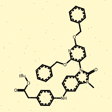 Cn1c(=O)n(-c2ccc(OCc3ccccc3)nc2OCc2ccccc2)c2ccc(Nc3ccc(CC(=O)OC(C)(C)C)cc3)cc21